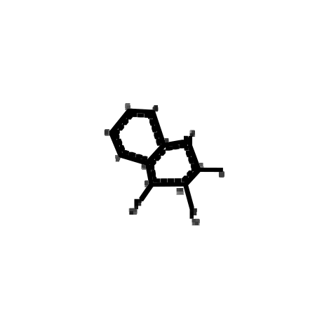 Cc1nc2ccccc2c(F)c1F